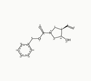 C=C[C@@H]1CN(C(=O)OCc2ccccc2)CC1O